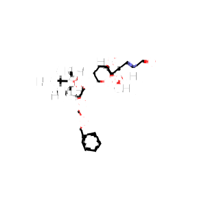 CO[C@@]1(C(C)(C)/C=C/C=O)O[C@H](C[C@@H](O[Si](C)(C)C(C)(C)C)[C@@H](C)OCOCc2ccccc2)CCC1=O